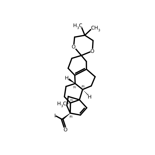 CC1(C)COC2(CCC3=C(CC[C@@H]4[C@@H]3CC[C@@]3(C)C45C=C[C@]3(C(=O)I)CC5)C2)OC1